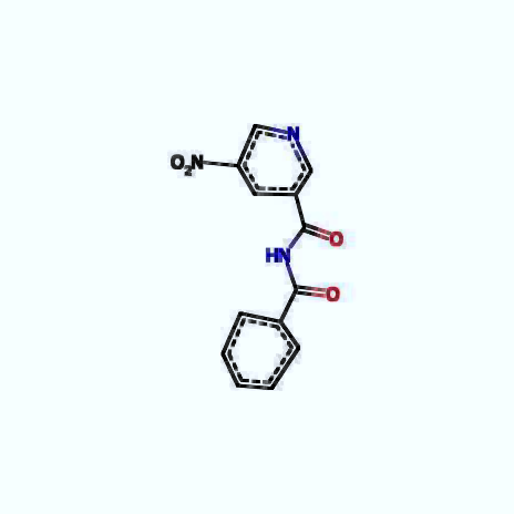 O=C(NC(=O)c1cncc([N+](=O)[O-])c1)c1ccccc1